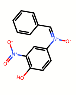 O=[N+]([O-])c1cc(/[N+]([O-])=C\c2ccccc2)ccc1O